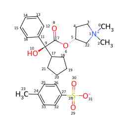 C[N+]1(C)CC[C@@H](OC(=O)[C@@](O)(c2ccccc2)C2CCCC2)C1.Cc1ccc(S(=O)(=O)[O-])cc1